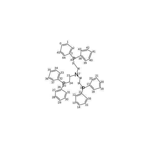 c1ccc(P(CCN(CCP(c2ccccc2)c2ccccc2)CCP(c2ccccc2)c2ccccc2)c2ccccc2)cc1